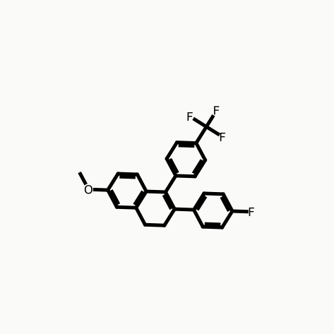 COc1ccc2c(c1)CCC(c1ccc(F)cc1)=C2c1ccc(C(F)(F)F)cc1